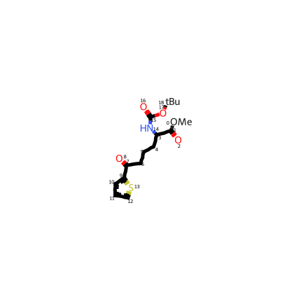 COC(=O)C(CCCC(=O)c1cccs1)NC(=O)OC(C)(C)C